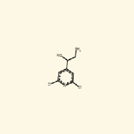 NCC(O)c1cc(Cl)nc(Cl)c1